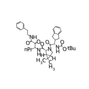 CCCC(NC(=O)[C@@H]1[C@@H]2[C@H](CN1C(=O)[C@@H](NC(=O)OC(C)(C)C)C1Cc3ccccc3C1)C2(C)C)C(=O)C(=O)NCCc1ccccc1